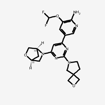 Nc1ncc(-c2cc(N3C[C@@H]4C[C@H]3CO4)nc(N3CCC4(COC4)C3)n2)cc1OC(F)F